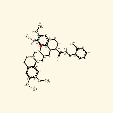 CCC1CN2CCc3cc(OC)c(OC)cc3C2CC1CC1c2cc(OC)c(OC)cc2CCN1C(=S)NCc1ccccc1Cl